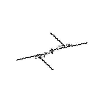 CCCCCCCCCCCCCCC(O)CN(CCCCSSCCN1CC(C)N(CCSSCCCCN(CC(O)CCCCCCCCCCCCCC)CC(O)CCCCCCCCCCCCCC)CC1C)CC(O)CCCCCCCCCCCCCC